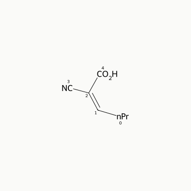 CCCC=C(C#N)C(=O)O